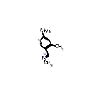 C/N=C/c1cnc(OC)cc1C